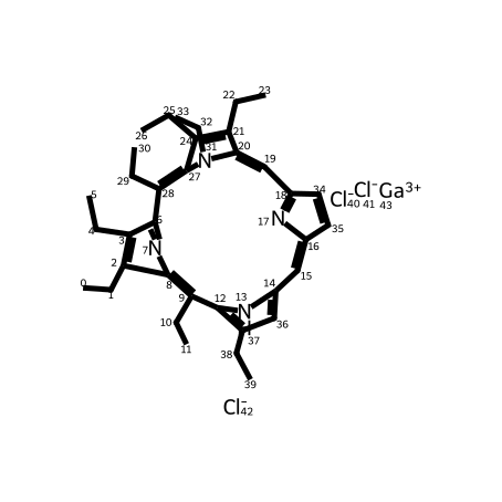 CCC1=C(CC)c2nc1c(CC)c1[nH]c(cc3nc(cc4c(CC)c(CC)c(c2CC)n4CC)C=C3)cc1CC.[Cl-].[Cl-].[Cl-].[Ga+3]